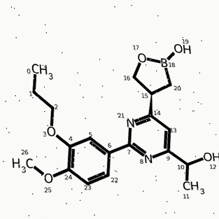 CCCOc1cc(-c2nc(C(C)O)cc([C@H]3COB(O)C3)n2)ccc1OC